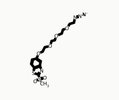 CS(=O)(=O)c1nc2cc(OCCOCCOCCOCCN=[N+]=[N-])ccc2s1